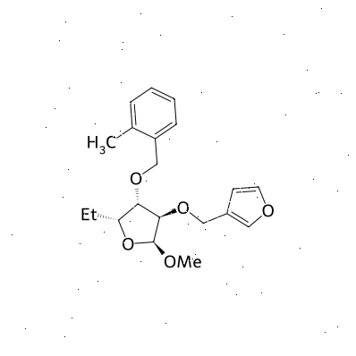 CC[C@H]1O[C@H](OC)[C@H](OCc2ccoc2)[C@H]1OCc1ccccc1C